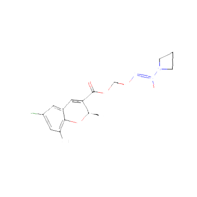 Cc1cc(Cl)cc2c1O[C@H](C(F)(F)F)C(C(=O)OCO/N=[N+](\[O-])N1CCC1)=C2